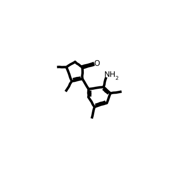 CC1=C(c2cc(C)cc(C)c2N)C(=O)CC1C